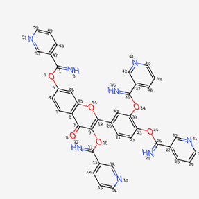 N=C(Oc1ccc2c(=O)c(OC(=N)c3cccnc3)c(-c3ccc(OC(=N)c4cccnc4)c(OC(=N)c4cccnc4)c3)oc2c1)c1cccnc1